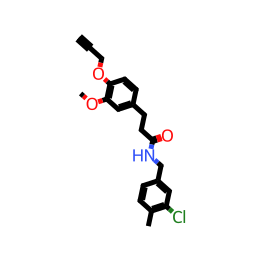 C#CCOc1ccc(CCC(=O)NCc2ccc(C)c(Cl)c2)cc1OC